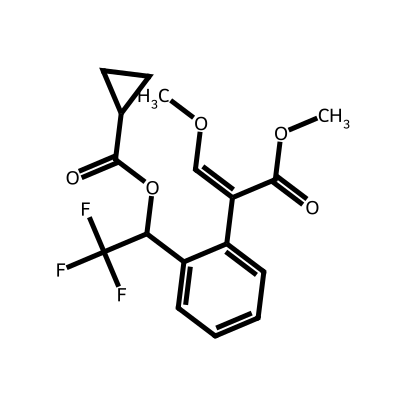 COC=C(C(=O)OC)c1ccccc1C(OC(=O)C1CC1)C(F)(F)F